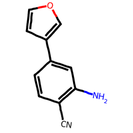 N#Cc1ccc(-c2ccoc2)cc1N